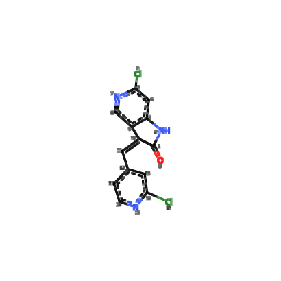 O=C1Nc2cc(Cl)ncc2C1=Cc1ccnc(Cl)c1